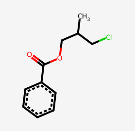 CC(CCl)COC(=O)c1ccccc1